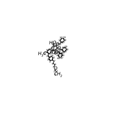 C=CCOCCCCc1ccc(Cc2cc([C@]3(OC)OC(CO)[C@@H](OCc4ccccc4)C(OCc4ccccc4)[C@H]3OCc3ccccc3)ccc2C)cc1